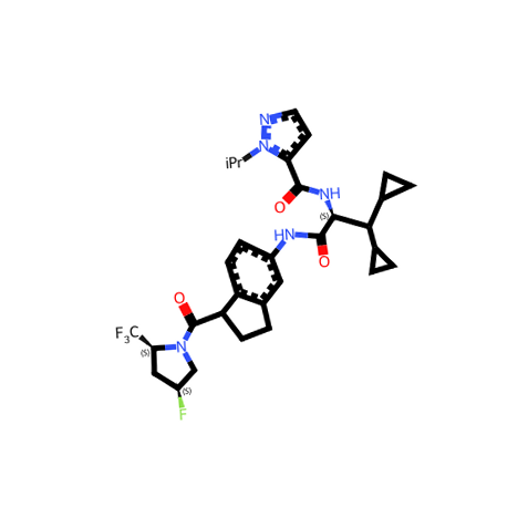 CC(C)n1nccc1C(=O)N[C@H](C(=O)Nc1ccc2c(c1)CCC2C(=O)N1C[C@@H](F)C[C@H]1C(F)(F)F)C(C1CC1)C1CC1